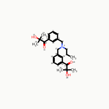 CCCN(Cc1cccc(C(=O)C(C)(C)O)c1)Cc1cccc(C(=O)C(C)(C)O)c1